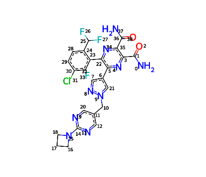 NC(=O)c1nc(-c2cnn(Cc3cnc(N4CCC4)nc3)c2)c(-c2c(C(F)F)ccc(Cl)c2F)nc1C(N)=O